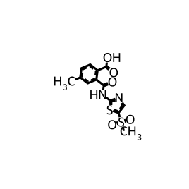 Cc1ccc(C(=O)O)c(C(=O)Nc2ncc(S(C)(=O)=O)s2)c1